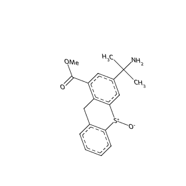 COC(=O)c1cc(C(C)(C)N)cc2c1Cc1ccccc1[S+]2[O-]